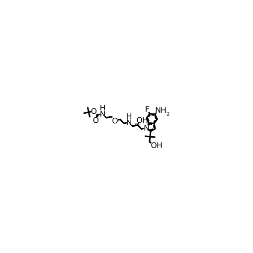 CC(C)(C)OC(=O)NCCOCCNC[C@H](O)Cn1c(C(C)(C)CO)cc2cc(N)c(F)cc21